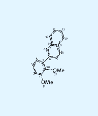 COc1cccc(-c2cnc3ccccc3n2)c1OC